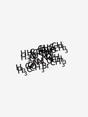 CC(C)(C)OC(=O)CN(CCN(CC(=O)OC(C)(C)C)Cc1cc(Br)cc(CN(CC(=O)OC(C)(C)C)CC(=O)OC(C)(C)C)n1)CC(=O)OC(C)(C)C